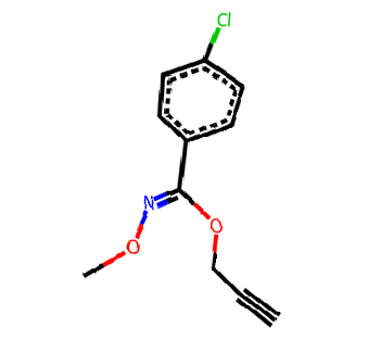 C#CCOC(=NOC)c1ccc(Cl)cc1